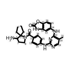 CCC1(CC)C(N)CCN1C(=O)c1ccc(Nc2ncc(C)c(Nc3ccc4oc(=O)[nH]c4c3)n2)cc1